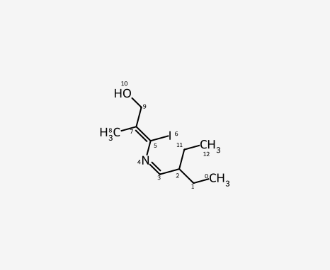 CCC(/C=N\C(I)=C(/C)CO)CC